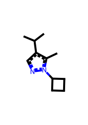 Cc1c(C(C)C)cnn1C1CCC1